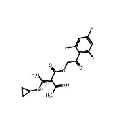 CC(=N)/C(C(=O)OCC(=O)c1c(F)cc(F)cc1F)=C(/N)NC1CC1